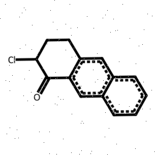 O=C1c2cc3ccccc3cc2CCC1Cl